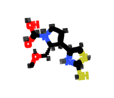 COC[C@H]1C(c2csc(S)n2)=CCN1C(=O)O